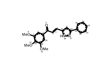 COc1cc(C(=O)/C=C/c2cc(-c3ccccc3)n[nH]2)cc(OC)c1OC